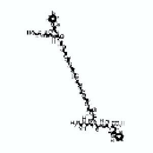 N=C(N)NCCC[C@H](NC(=O)CNC(=O)CCOCCOCCOCCOCCOCCOCCOCCOCCNC(=O)[C@H](CCC(=O)Oc1ccc(F)cc1)NC(=O)CCOCCO)C(=O)NCC(=O)N[C@@H](Cc1c[nH]c2ccccc12)C(=O)O